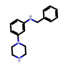 c1ccc(CNc2cccc(N3CCNCC3)c2)cc1